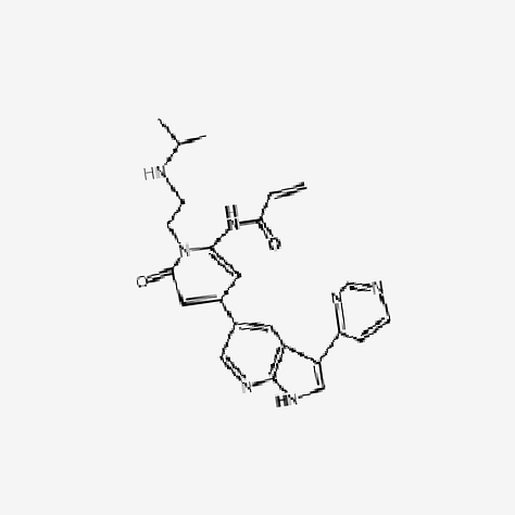 C=CC(=O)Nc1cc(-c2cnc3[nH]cc(-c4ccncn4)c3c2)cc(=O)n1CCNC(C)C